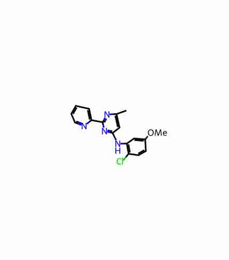 COc1ccc(Cl)c(Nc2cc(C)nc(-c3ccccn3)n2)c1